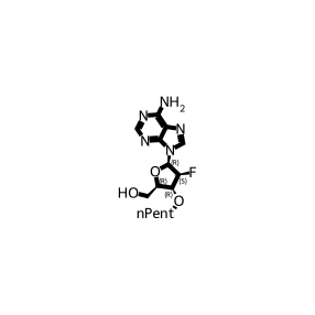 CCCCCO[C@H]1[C@H](F)[C@H](n2cnc3c(N)ncnc32)O[C@@H]1CO